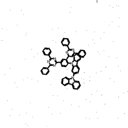 c1ccc(-c2cc(-c3cc(-c4nc(-c5ccccc5)nc(-c5ccccc5)n4)ccc3-n3c4ccccc4c4ccc(-n5c6ccccc6c6ccccc65)cc43)nc(-c3ccccc3)n2)cc1